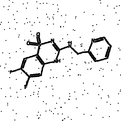 O=S1(=O)N=C(NCc2ccccn2)Nc2cc(F)c(F)cc21